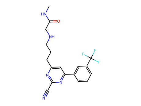 CNC(=O)CNCCCc1cc(-c2cccc(C(F)(F)F)c2)nc(C#N)n1